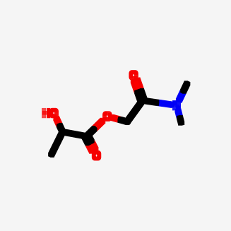 CC(O)C(=O)OCC(=O)N(C)C